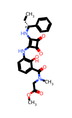 CC[C@@H](Nc1c(Nc2cccc(C(=O)N(C)CC(=O)OC)c2O)c(=O)c1=O)c1ccccc1